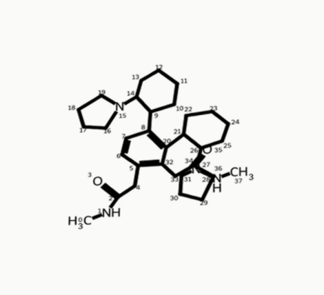 CNC(=O)Cc1ccc(C2CCCCC2N2CCCC2)c(C2CCCCC2N2CCCC2)c1CC(=O)NC